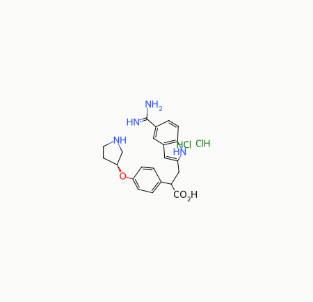 Cl.Cl.N=C(N)c1ccc2[nH]c(CC(C(=O)O)c3ccc(O[C@H]4CCNC4)cc3)cc2c1